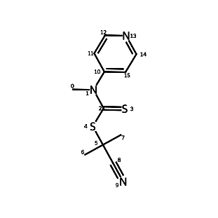 CN(C(=S)SC(C)(C)C#N)c1ccncc1